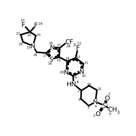 CS(=O)(=O)N1CCC(Nc2ncc(F)c(-c3sc(CN4CCC(F)(F)C4)nc3C(F)(F)F)n2)CC1